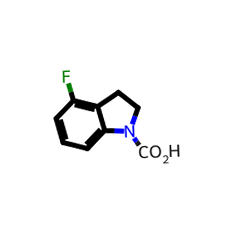 O=C(O)N1CCc2c(F)cccc21